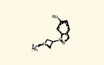 CC(=O)N1CC(n2ncc3ccc(C(C)(C)C)cc32)C1